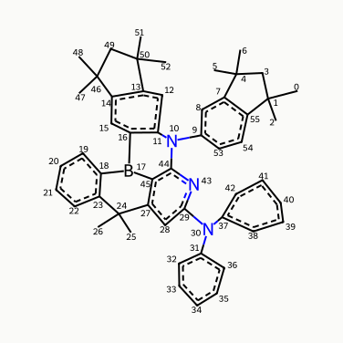 CC1(C)CC(C)(C)c2cc(N3c4cc5c(cc4B4c6ccccc6C(C)(C)c6cc(N(c7ccccc7)c7ccccc7)nc3c64)C(C)(C)CC5(C)C)ccc21